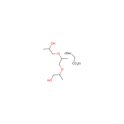 CC(O)COC(C)COC(C)CO.CCCCCCCCCCCC(=O)OCC